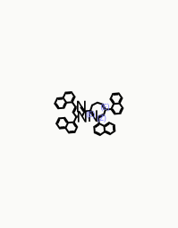 C1=C(c2cccc3ccccc23)\N=C(\c2nc(-c3cccc4ccccc34)cc(-c3cccc4ccccc34)n2)CC\C=C/1c1cccc2ccccc12